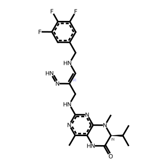 Cc1nc(NC/C(=C/NCc2cc(F)c(F)c(F)c2)N=N)nc2c1NC(=O)[C@H](C(C)C)N2C